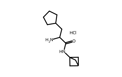 Cl.NC(CC1CCCC1)C(=O)NC12CC(C1)C2